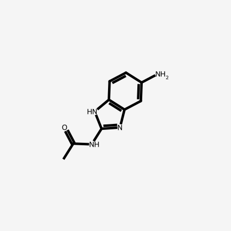 CC(=O)Nc1nc2cc(N)ccc2[nH]1